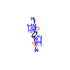 CN(C)CCCNC(=O)Nc1ccc(NCNC(=O)CCN(C)C)cc1